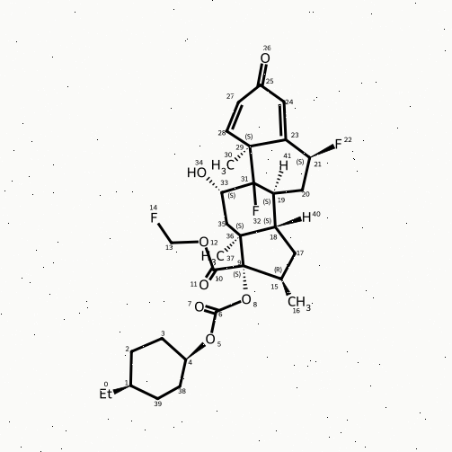 CC[C@H]1CC[C@@H](OC(=O)O[C@@]2(C(=O)OCF)[C@H](C)C[C@H]3[C@@H]4C[C@H](F)C5=CC(=O)C=C[C@]5(C)C4(F)[C@@H](O)C[C@@]32C)CC1